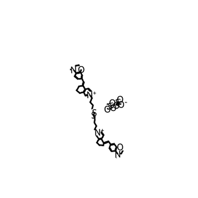 CN1CCOc2cc(C=C3CCCc4c[n+](CCCCSSCCCC[n+]5ccc6c(c5)CCCC6=Cc5ccc6c(c5)OCCN6C)ccc43)ccc21.CS(=O)(=O)[O-].CS(=O)(=O)[O-]